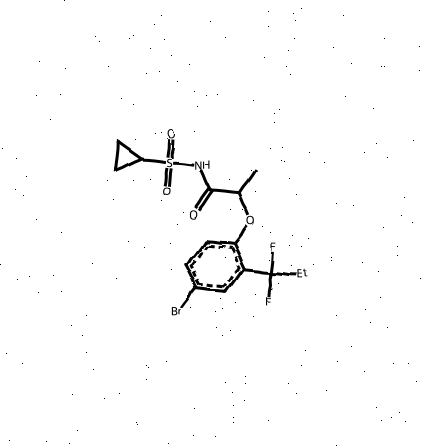 CCC(F)(F)c1cc(Br)ccc1OC(C)C(=O)NS(=O)(=O)C1CC1